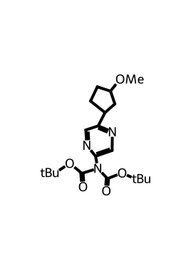 COC1CCC(c2cnc(N(C(=O)OC(C)(C)C)C(=O)OC(C)(C)C)cn2)C1